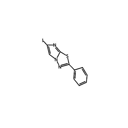 Ic1cn2nc(-c3ccccc3)sc2n1